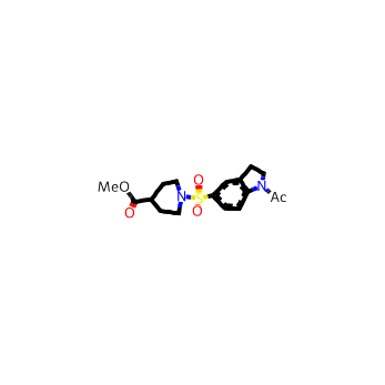 COC(=O)C1CCN(S(=O)(=O)c2ccc3c(c2)CCN3C(C)=O)CC1